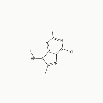 Cc1nc(Cl)c2nc(C)n(PI)c2n1